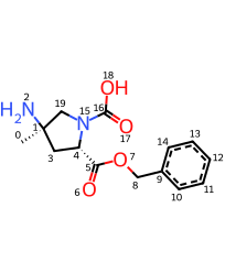 C[C@@]1(N)C[C@@H](C(=O)OCc2ccccc2)N(C(=O)O)C1